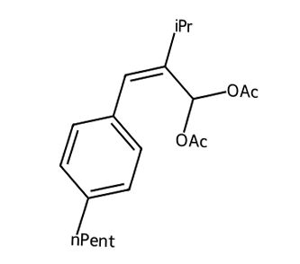 CCCCCc1ccc(C=C(C(C)C)C(OC(C)=O)OC(C)=O)cc1